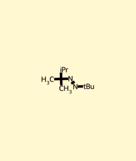 CC(C)C(C)(C)N=NC(C)(C)C